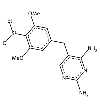 CC[S+]([O-])c1c(OC)cc(Cc2cnc(N)nc2N)cc1OC